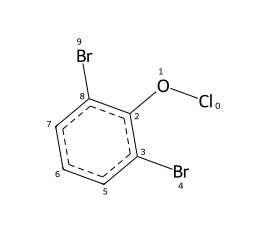 ClOc1c(Br)cccc1Br